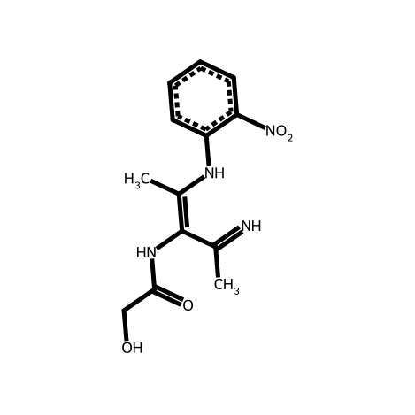 CC(=N)/C(NC(=O)CO)=C(/C)Nc1ccccc1[N+](=O)[O-]